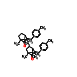 Cc1ccc(C=C2C(=O)C3(C)CCC2C3(C)C)cc1.Cc1ccc(C=C2C(=O)C3(C)CCC2C3(C)C)cc1